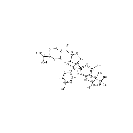 O=C([C@H]1CC[C@H](C(O)O)CC1)N1CC[C@](c2ccc(C(F)(C(F)(F)F)C(F)(F)F)c(F)c2)(S(=O)(=O)c2ccc(F)cc2)C1